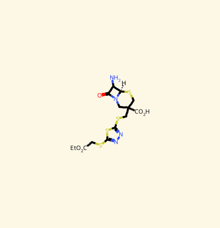 CCOC(=O)CSc1nnc(SCC2(C(=O)O)CS[C@@H]3C(N)C(=O)N3C2)s1